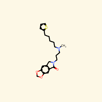 CN(CCCCCc1cccs1)CCCN1Cc2cc3c(cc2C1=O)OCO3